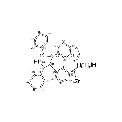 CC=CC=[CH][Zr].Cl.Cl.c1ccc(C2PC(c3ccccc3)C(c3ccccc3)C2c2ccccc2)cc1